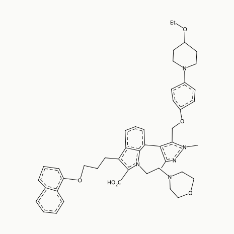 CCOC1CCN(c2ccc(OCc3c(-c4cccc5c(CCCOc6cccc7ccccc67)c(C(=O)O)n(CCN6CCOCC6)c45)c(C)nn3C)cc2)CC1